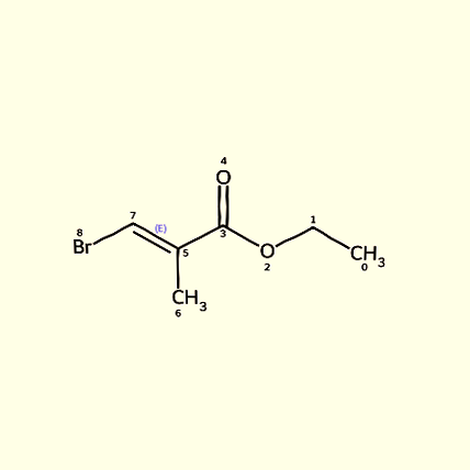 CCOC(=O)/C(C)=C/Br